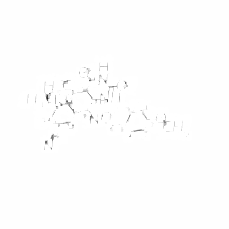 COc1ccc(CON=C(c2cc(C)cc(C#N)c2)c2[nH]c(=O)[nH]c(=O)c2C(C)C)cc1